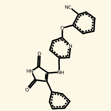 N#Cc1ccccc1Oc1ccc(NC2=C(c3ccccc3)C(=O)NC2=O)cn1